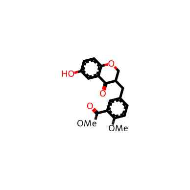 COC(=O)c1cc(CC2COc3ccc(O)cc3C2=O)ccc1OC